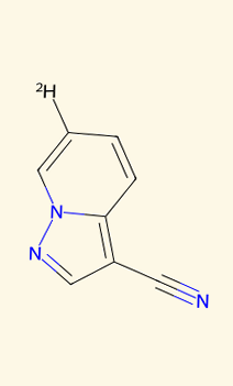 [2H]c1ccc2c(C#N)cnn2c1